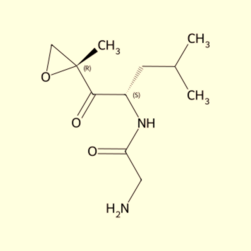 CC(C)C[C@H](NC(=O)CN)C(=O)[C@@]1(C)CO1